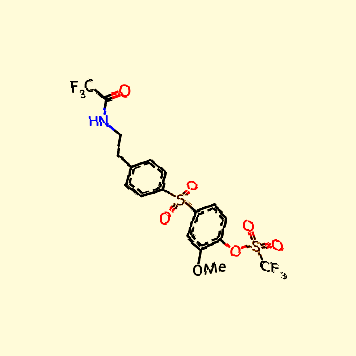 COc1cc(S(=O)(=O)c2ccc(CCNC(=O)C(F)(F)F)cc2)ccc1OS(=O)(=O)C(F)(F)F